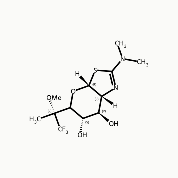 CO[C@](C)(C1O[C@@H]2SC(N(C)C)=N[C@@H]2[C@@H](O)[C@@H]1O)C(F)(F)F